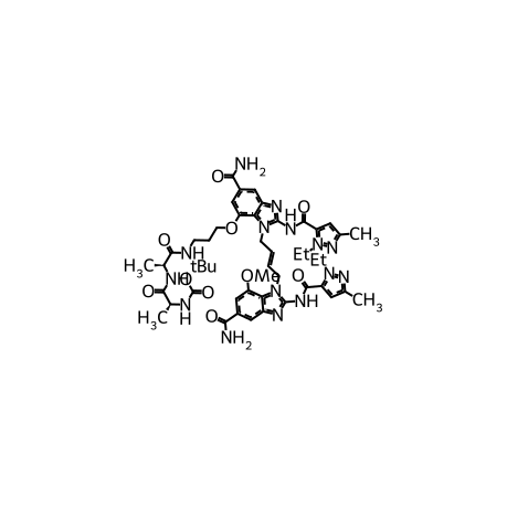 CCn1nc(C)cc1C(=O)Nc1nc2cc(C(N)=O)cc(OC)c2n1C/C=C/Cn1c(NC(=O)c2cc(C)nn2CC)nc2cc(C(N)=O)cc(OCCCNC(=O)[C@H](C)NC(=O)[C@H](C)NC(=O)OC(C)(C)C)c21